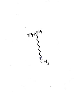 C/C=C/CCCCCCCCN(CCC)CCC